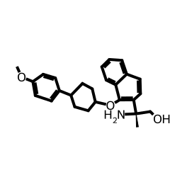 COc1ccc(C2CCC(Oc3c([C@@](C)(N)CO)ccc4ccccc34)CC2)cc1